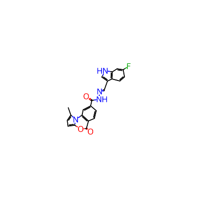 Cc1ccc2oc(=O)c3ccc(C(=O)N/N=C/c4c[nH]c5cc(F)ccc45)cc3n12